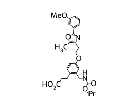 COc1cccc(-c2nc(CCOc3ccc(CCC(=O)O)c(CNC(=O)OC(C)C)c3)c(C)o2)c1